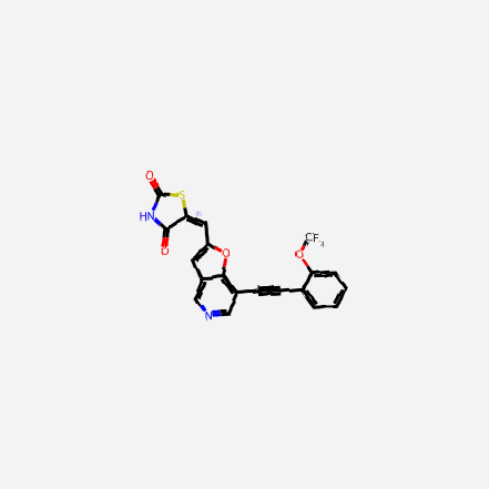 O=C1NC(=O)/C(=C\c2cc3cncc(C#Cc4ccccc4OC(F)(F)F)c3o2)S1